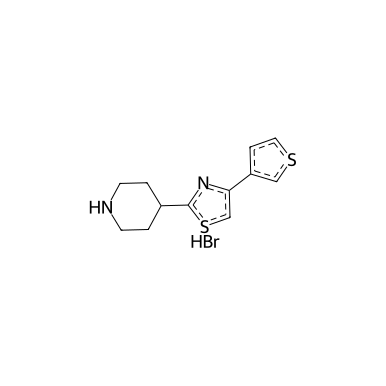 Br.c1cc(-c2csc(C3CCNCC3)n2)cs1